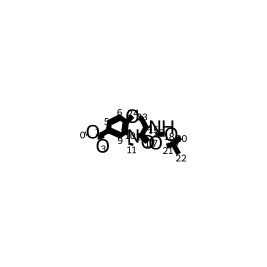 COC(=O)c1ccc2c(c1)N(C)C(=O)[C@@H](NC(=O)OC(C)(C)C)CO2